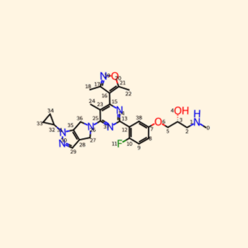 CNC[C@@H](O)COc1ccc(F)c(-c2nc(-c3c(C)noc3C)c(C)c(N3Cc4cnn(C5CC5)c4C3)n2)c1